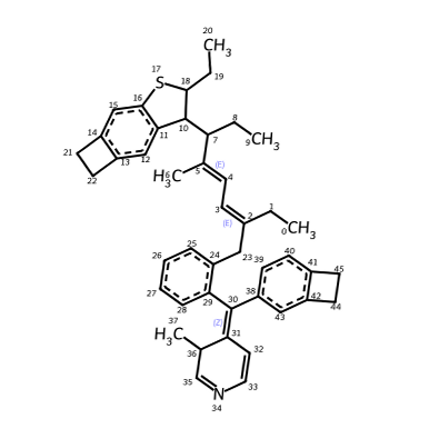 CC/C(=C\C=C(/C)C(CC)C1c2cc3c(cc2SC1CC)CC3)Cc1ccccc1/C(=C1/C=CN=CC1C)c1ccc2c(c1)CC2